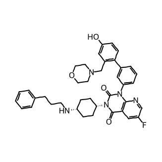 O=c1c2cc(F)cnc2n(-c2cccc(-c3ccc(O)cc3CN3CCOCC3)c2)c(=O)n1[C@H]1CC[C@@H](NCCCc2ccccc2)CC1